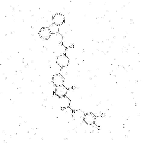 CN(Cc1ccc(Cl)c(Cl)c1)C(=O)Cn1cnc2ccc(N3CCN(C(=O)OCC4c5ccccc5-c5ccccc54)CC3)cc2c1=O